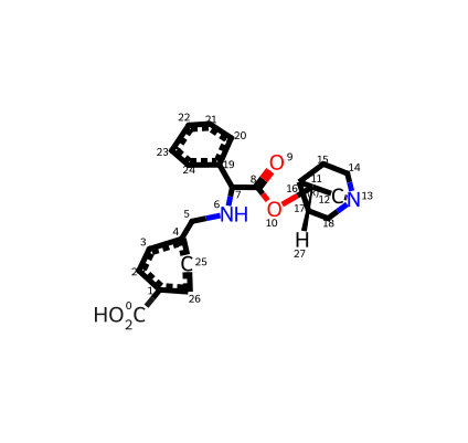 O=C(O)c1ccc(CNC(C(=O)O[C@H]2CN3CCC2CC3)c2ccccc2)cc1